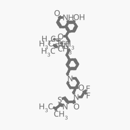 CC(C)c1nc(C(=O)N2CC(F)(F)OC3(CCN(Cc4cccc(CCNCC(O[Si](C)(C)C(C)(C)C)c5ccc(O)c6[nH]c(=O)ccc56)c4)CC3)C2)cs1